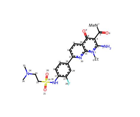 CCn1c(N)c(C(=O)NC)c(=O)c2ccc(-c3ccc(NS(=O)(=O)CCN(C)C)c(F)c3)nc21